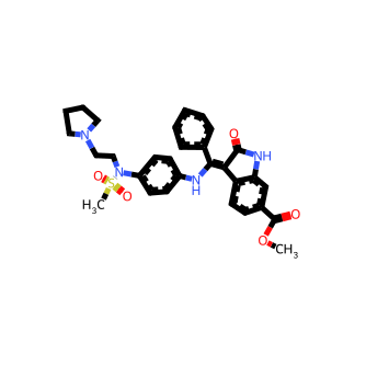 COC(=O)c1ccc2c(c1)NC(=O)C2=C(Nc1ccc(N(CCN2CCCC2)S(C)(=O)=O)cc1)c1ccccc1